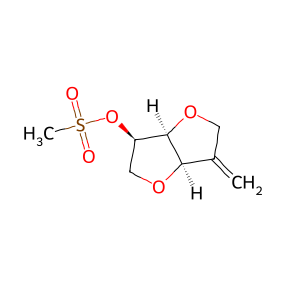 C=C1CO[C@H]2[C@@H]1OC[C@H]2OS(C)(=O)=O